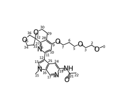 COCCOCCCOc1cc(-c2cn(C)c3cnc(NC(C)=O)cc23)nc2c1CCOC21CCOC1